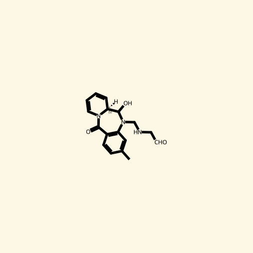 Cc1ccc2c(c1)N(CNCC=O)C(O)[C@@H]1C=CC=CN1C2=O